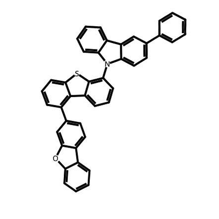 c1ccc(-c2ccc3c(c2)c2ccccc2n3-c2cccc3c2sc2cccc(-c4ccc5c(c4)oc4ccccc45)c23)cc1